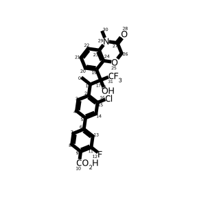 CC(c1ccc(-c2ccc(C(=O)O)c(F)c2)cc1Cl)C(O)(c1cccc2c1OCC(=O)N2C)C(F)(F)F